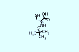 CC(C)(C)SN[C@H](CS)C(=O)O